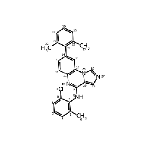 Cc1cccc(Cl)c1Nc1nc2ccc(-c3c(C)cccc3C)cc2n2cncc12